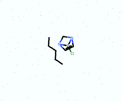 C[CH]CCC.[Cl][Zn]1[N]2C=C[N]1C2